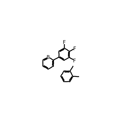 Cc1ccccc1C.Fc1cc(-c2bcccc2)cc(F)c1F